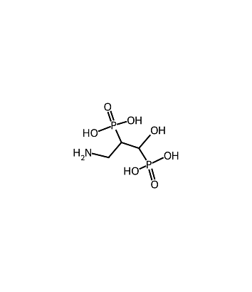 NCC(C(O)P(=O)(O)O)P(=O)(O)O